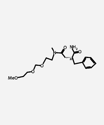 COCCOCOCCN(C)C(=O)C[C@@H](Cc1ccccc1)C(N)=O